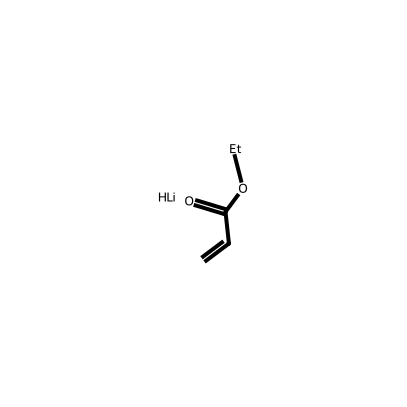 C=CC(=O)OCC.[LiH]